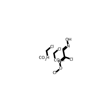 O=C(O)CCl.O=C(O)CCl.ON=CC(Cl)=NOCl